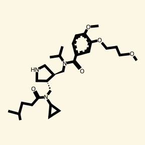 COCCCOc1cc(C(=O)N(C[C@@H]2CNC[C@H]2CN(C(=O)CCC(C)C)C2CC2)C(C)C)ccc1OC